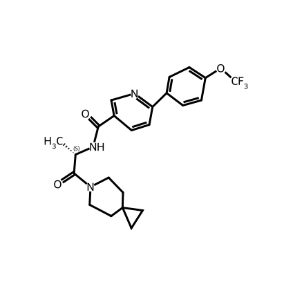 C[C@H](NC(=O)c1ccc(-c2ccc(OC(F)(F)F)cc2)nc1)C(=O)N1CCC2(CC1)CC2